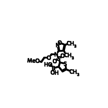 COCCOCN(c1noc(C)c1C)S(=O)(=O)C1SC(C)=CC1B(O)O